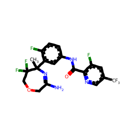 CC1(c2cc(NC(=O)c3ncc(C(F)(F)F)cc3F)ccc2F)N=C(N)COCC1(F)F